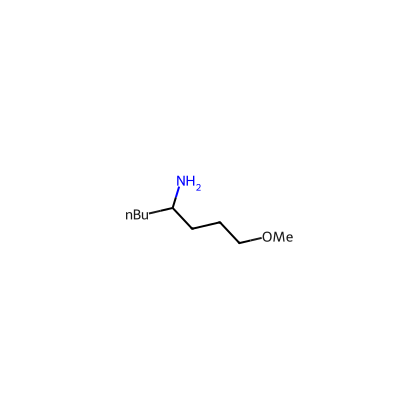 CCCCC(N)CCCOC